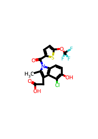 Cc1c(CC(=O)O)c2c(Cl)c(O)ccc2n1C(=O)c1ccc(OC(F)(F)F)s1